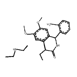 CCC1C(=O)NC(c2ccccc2N)c2cc(OC)c(OC)cc21.CCNCC